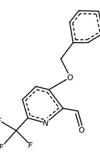 O=Cc1nc(C(F)(F)F)ccc1OCc1ccccc1